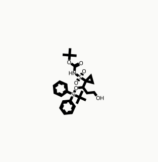 CC(C)(C)OC(=O)NS(=O)(=O)C1(C(CCO)O[Si](c2ccccc2)(c2ccccc2)C(C)(C)C)CC1